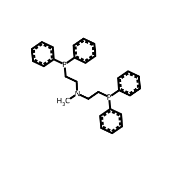 CN(CCP(c1ccccc1)c1ccccc1)CCP(c1ccccc1)c1ccccc1